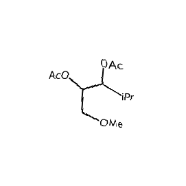 COCC(OC(C)=O)C(OC(C)=O)C(C)C